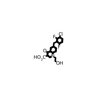 O=C(O)c1cn(CCO)c2ccc(Cc3c(F)ccc(Cl)c3F)cc2c1=O